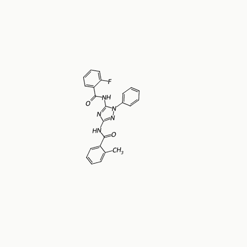 Cc1ccccc1C(=O)Nc1nc(NC(=O)c2ccccc2F)n(-c2ccccc2)n1